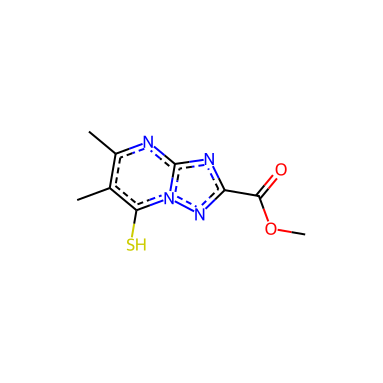 COC(=O)c1nc2nc(C)c(C)c(S)n2n1